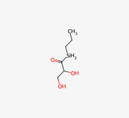 CCC[SiH2]C(=O)C(O)CO